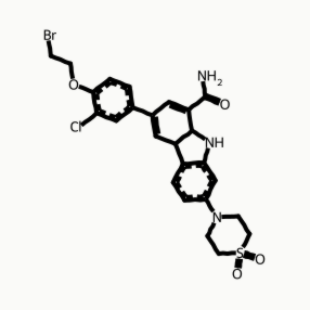 NC(=O)C1=CC(c2ccc(OCCBr)c(Cl)c2)=CC2c3ccc(N4CCS(=O)(=O)CC4)cc3NC12